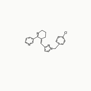 Clc1ccc(Cn2ccc(C=C3CCCN=C3c3cccnc3)n2)cc1